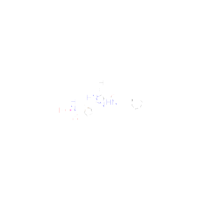 Cc1[nH]c(-c2ccc(C(=O)NO)s2)nc1C(=O)NCCc1ccccc1